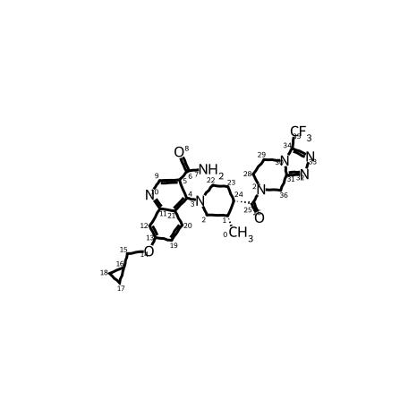 C[C@@H]1CN(c2c(C(N)=O)cnc3cc(OCC4CC4)ccc23)CC[C@@H]1C(=O)N1CCn2c(nnc2C(F)(F)F)C1